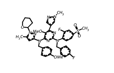 COc1ccc(CN(c2cc(C)n(C3CCCCO3)n2)c2nc(N(Cc3ccc(F)cc3)c3ccc(S(C)(=O)=O)cc3F)nc(-c3cnn(C)c3)c2OC)cc1